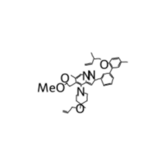 C=CCOC1(C)CCN(c2c(CC(=O)OC)c(C)cn3nc(-c4cccc(-c5cc(C)ccc5OCC(C)C=C)c4)cc23)CC1